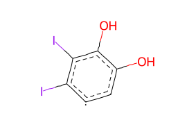 Oc1c[c]c(I)c(I)c1O